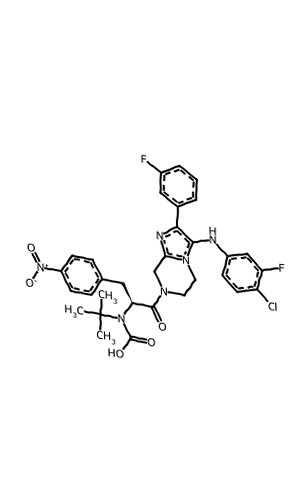 CC(C)(C)N(C(=O)O)[C@@H](Cc1ccc([N+](=O)[O-])cc1)C(=O)N1CCn2c(nc(-c3cccc(F)c3)c2Nc2ccc(Cl)c(F)c2)C1